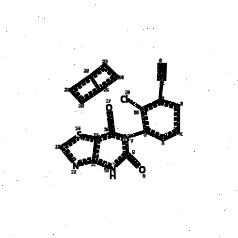 C#Cc1cccc(-n2c(=O)[nH]c3ncsc3c2=O)c1Cl.c1cc2ccc1-2